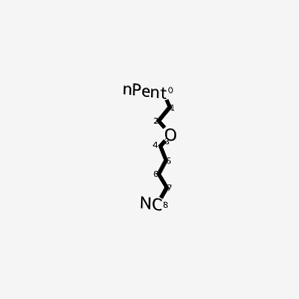 [CH2]CCCCCCOCCCCC#N